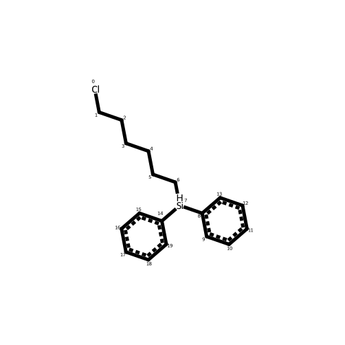 ClCCCCCC[SiH](c1ccccc1)c1ccccc1